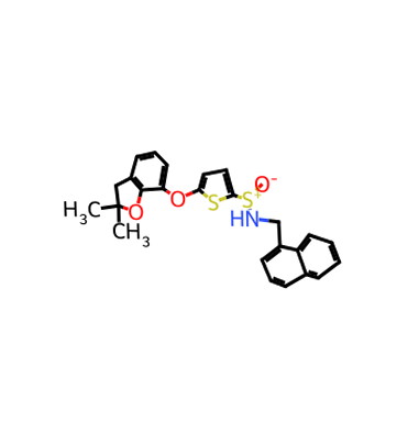 CC1(C)Cc2cccc(Oc3ccc([S+]([O-])NCc4cccc5ccccc45)s3)c2O1